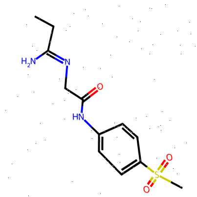 CC/C(N)=N/CC(=O)Nc1ccc(S(C)(=O)=O)cc1